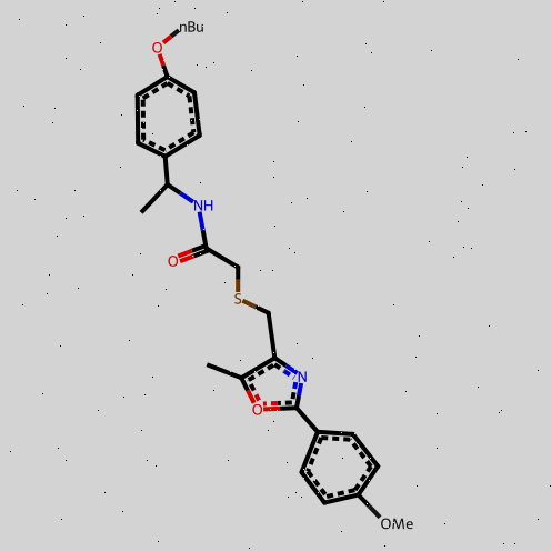 CCCCOc1ccc(C(C)NC(=O)CSCc2nc(-c3ccc(OC)cc3)oc2C)cc1